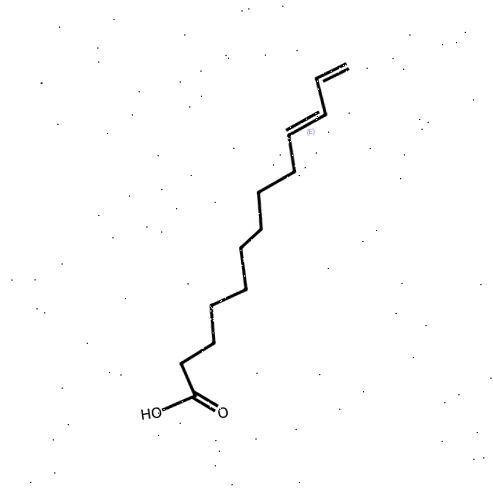 C=C/C=C/CCCCCCCCC(=O)O